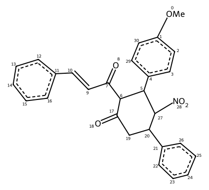 COc1ccc(C2C(C(=O)/C=C/c3ccccc3)C(=O)CC(c3ccccc3)C2[N+](=O)[O-])cc1